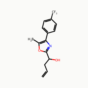 Bc1oc(C(O)CC=C)nc1-c1ccc(C(F)(F)F)cc1